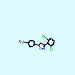 O=[N+]([O-])c1ccc(C2CC(c3c(Cl)cccc3Cl)=NO2)cc1